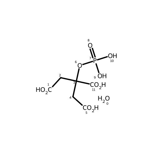 O.O=C(O)CC(CC(=O)O)(OP(=O)(O)O)C(=O)O